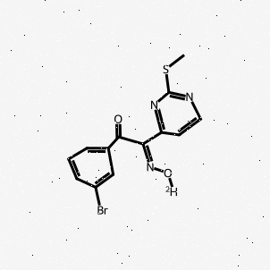 [2H]ON=C(C(=O)c1cccc(Br)c1)c1ccnc(SC)n1